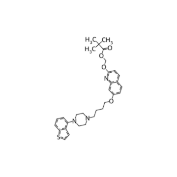 CC(C)(C)C(=O)OCOc1ccc2ccc(OCCCCN3CCN(c4cccc5sccc45)CC3)cc2n1